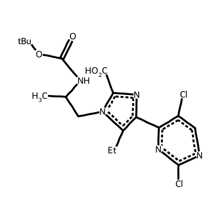 CCc1c(-c2nc(Cl)ncc2Cl)nc(C(=O)O)n1CC(C)NC(=O)OC(C)(C)C